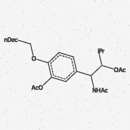 CCCCCCCCCCCOc1ccc(C(NC(C)=O)C(OC(C)=O)C(C)C)cc1OC(C)=O